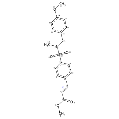 COC(=O)/C=C/c1ccc(S(=O)(=O)N(C)Cc2ccc(OC)cc2)cc1